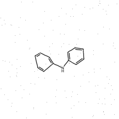 [c]1cccc(Nc2ccccc2)c1